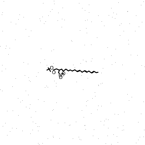 CCC=CCC=CCC=CCCCCCCCC(CC(=O)OC(C)(C)C)C[N+](=O)[O-]